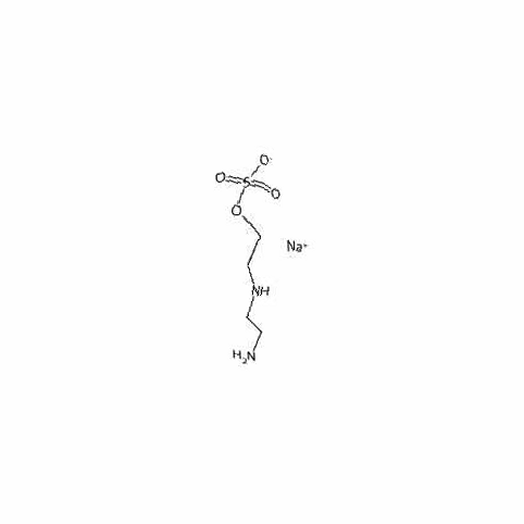 NCCNCCOS(=O)(=O)[O-].[Na+]